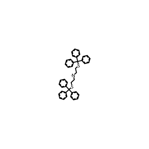 c1ccc(C(SCC[N]CCSC(c2ccccc2)(c2ccccc2)c2ccccc2)(c2ccccc2)c2ccccc2)cc1